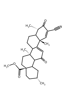 COC(=O)[C@]12CC[C@@H](C)CC1C1C(=O)C=C3C(CCC4[C@H](C)C(=O)C(C#N)=C[C@]34C)[C@]1(C)CC2